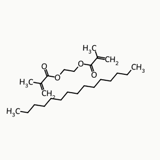 C=C(C)C(=O)OCCOC(=O)C(=C)C.CCCCCCCCCCCCCCC